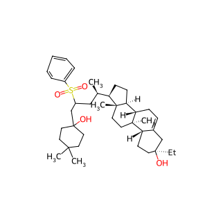 CC[C@]1(O)CC[C@H]2C(=CC[C@H]3[C@@H]4CC[C@H]([C@H](C)CC(CC5(O)CCC(C)(C)CC5)S(=O)(=O)c5ccccc5)[C@@]4(C)CC[C@]23C)C1